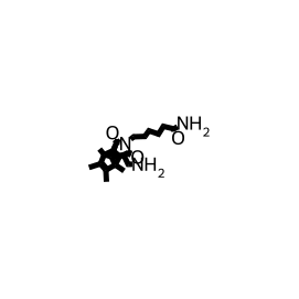 CC1=C(C)C2(C)C3C(=O)N(CCCCCC(N)=O)C(=O)C3C1(C)C2(C)CCN